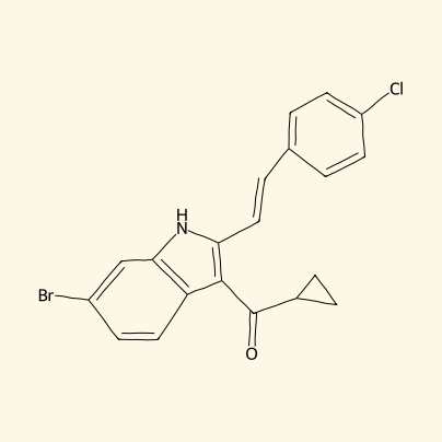 O=C(c1c(/C=C/c2ccc(Cl)cc2)[nH]c2cc(Br)ccc12)C1CC1